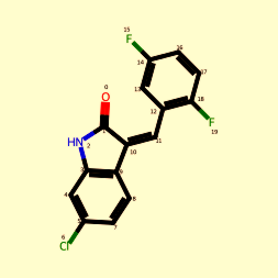 O=C1Nc2cc(Cl)ccc2C1=Cc1cc(F)ccc1F